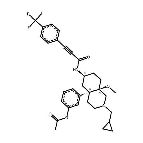 CO[C@]12CC[C@H](NC(=O)C#Cc3ccc(C(F)(F)F)cc3)C[C@]1(c1cccc(OC(C)=O)c1)CCN(CC1CC1)C2